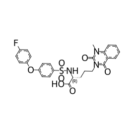 Cn1c(=O)n(CCC[C@@H](NS(=O)(=O)c2ccc(Oc3ccc(F)cc3)cc2)C(=O)O)c(=O)c2ccccc21